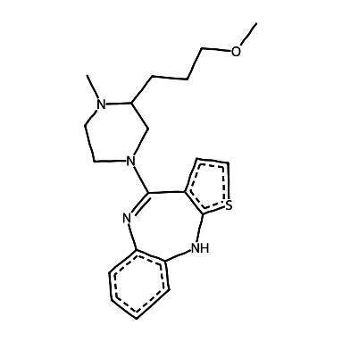 COCCCC1CN(C2=Nc3ccccc3Nc3sccc32)CCN1C